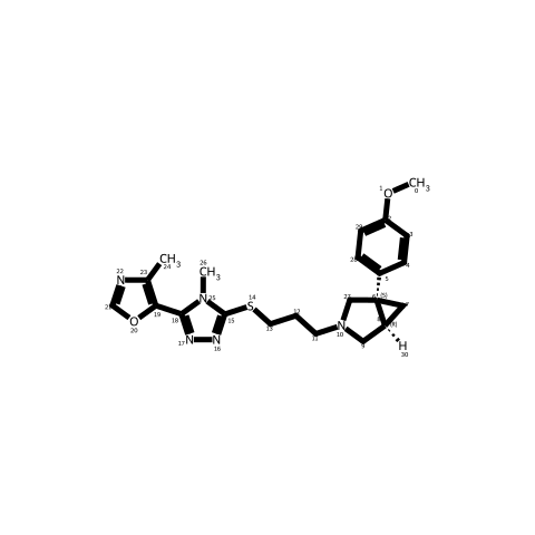 COc1ccc([C@]23C[C@H]2CN(CCCSc2nnc(-c4ocnc4C)n2C)C3)cc1